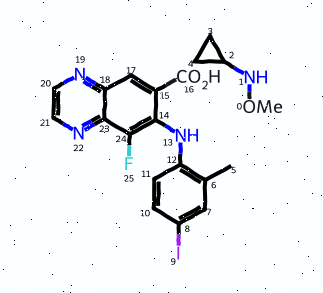 CONC1CC1.Cc1cc(I)ccc1Nc1c(C(=O)O)cc2nccnc2c1F